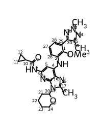 COc1c(Nc2cc(NC(=O)C3CC3)nc3c2nc(C)n3C2CCCCO2)cccc1-c1nn(C)nc1C